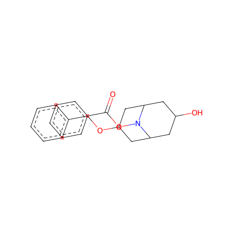 O=C(ON1C2CC(O)CC1CC(OCc1ccccc1)C2)c1ccccc1